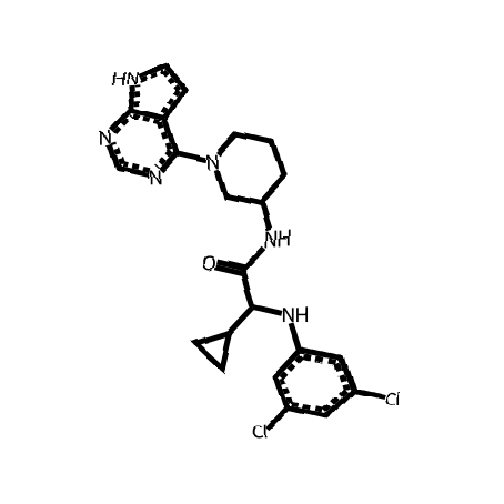 O=C(NC1CCCN(c2ncnc3[nH]ccc23)C1)C(Nc1cc(Cl)cc(Cl)c1)C1CC1